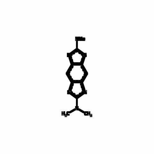 CNc1nc2cc3sc(N(C)C)nc3cc2s1